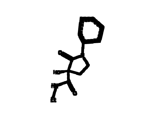 CCNC(=O)[C@@]1(O)CCN(c2ccccc2)C1=O